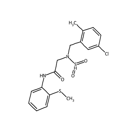 CSc1ccccc1NC(=O)CN(Cc1cc(Cl)ccc1C)[SH](=O)=O